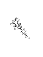 COc1ccc(-c2nc(C3(c4c(Cl)cc(N)cc4Cl)CC3)no2)cc1